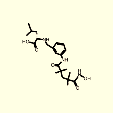 CC(C)C[C@H](NCc1cccc(NC(=O)C(C)(C)CC(C)(C)C(=O)NO)c1)C(=O)O